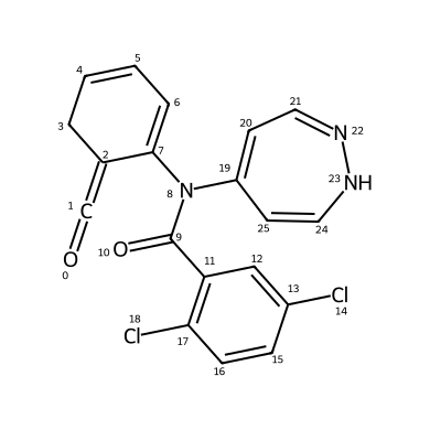 O=C=C1CC=CC=C1N(C(=O)c1cc(Cl)ccc1Cl)C1=CC=NNC=C1